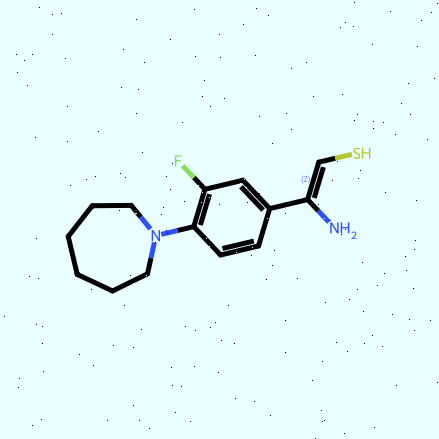 N/C(=C\S)c1ccc(N2CCCCCC2)c(F)c1